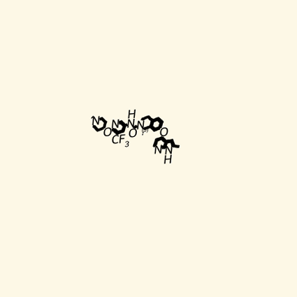 Cc1cc2c(Oc3ccc4c(c3)[C@H](C)N(C(=O)Nc3cnc(OC5CCN(C)CC5)c(C(F)(F)F)c3)CC4)ccnc2[nH]1